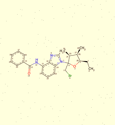 CC[C@H]1OC(CBr)(n2cnc3c(NC(=O)c4ccccc4)cccc32)[C@@H](C)[C@H]1C